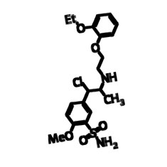 CCOc1ccccc1OCCNC(C)C(Cl)c1ccc(OC)c(S(N)(=O)=O)c1